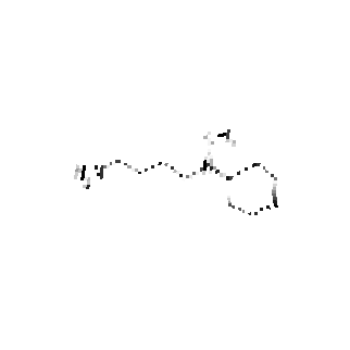 CN(CCCCN)C1CCCCC1